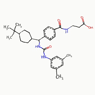 Cc1cc(C)cc(NC(=O)NC(c2ccc(C(=O)NCCC(=O)O)cc2)C2CCC(C(C)(C)C)CC2)c1